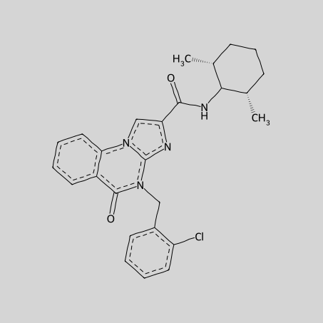 C[C@@H]1CCC[C@H](C)C1NC(=O)c1cn2c3ccccc3c(=O)n(Cc3ccccc3Cl)c2n1